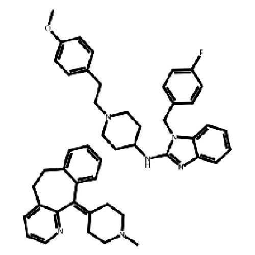 CN1CCC(=C2c3ccccc3CCc3cccnc32)CC1.COc1ccc(CCN2CCC(Nc3nc4ccccc4n3Cc3ccc(F)cc3)CC2)cc1